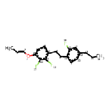 C/C=C/Oc1ccc(CCc2ccc(CCC)cc2F)c(F)c1F